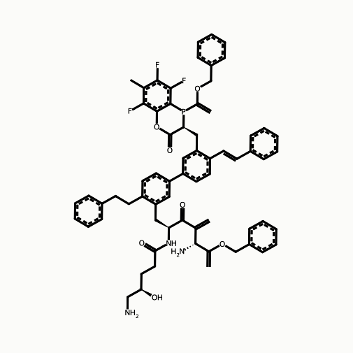 C=C(OCc1ccccc1)[C@H](N)C(=C)C(=O)[C@H](Cc1cc(-c2ccc(/C=C/c3ccccc3)c(C[C@H]3C(=O)Oc4c(F)c(C)c(F)c(F)c4P3C(=C)OCc3ccccc3)c2)ccc1CCc1ccccc1)NC(=O)CC[C@@H](O)CN